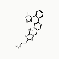 CCCCc1nc(CCN)nn1Cc1ccc(-c2ccccc2-c2nnn[nH]2)cc1